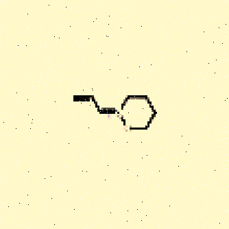 C=C/C=[Si]1\CCCCO1